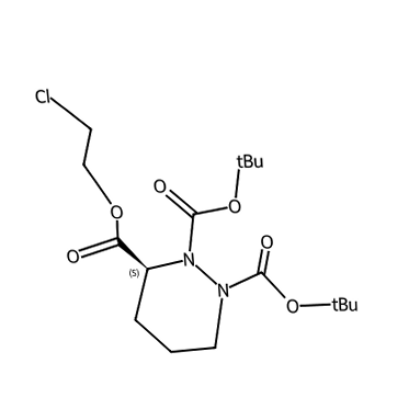 CC(C)(C)OC(=O)N1CCC[C@@H](C(=O)OCCCl)N1C(=O)OC(C)(C)C